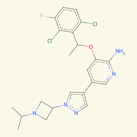 CC(Oc1cc(-c2cnn(C3CN(C(C)C)C3)c2)cnc1N)c1c(Cl)ccc(F)c1Cl